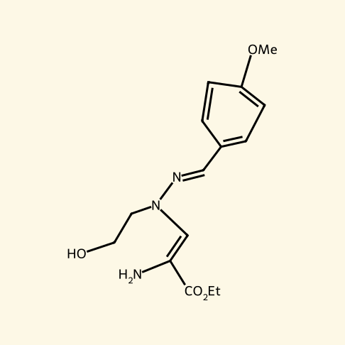 CCOC(=O)/C(N)=C/N(CCO)/N=C/c1ccc(OC)cc1